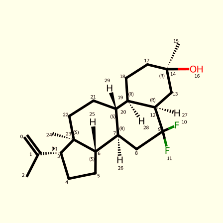 C=C(C)[C@H]1CC[C@H]2[C@@H]3CC(F)(F)[C@@H]4C[C@](C)(O)CC[C@@H]4[C@H]3CC[C@]12C